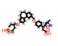 Cc1cc(C(CC(=O)O)c2ccc(OCc3ccc4c(c3)-c3ccc(OCC5CCS(O)(O)CC5)cc3CCC4)cc2)on1